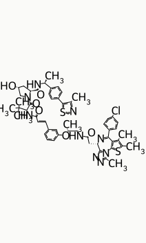 Cc1ncsc1-c1ccc([C@H](C)NC(=O)[C@@H]2C[C@@H](O)CN2C(=O)C(NC(=O)/C=C/c2cccc(O[C@H](C)CNC(=O)C[C@@H]3N=C(c4ccc(Cl)cc4)c4c(sc(C)c4C)-n4c(C)nnc43)c2)C(C)(C)C)cc1